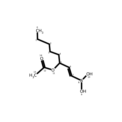 CCCCCC(/C=C/B(O)O)OC(C)=O